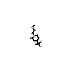 COCCN1CCC(C(C)(C)C)CC1